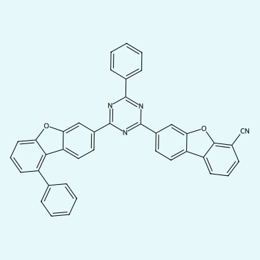 N#Cc1cccc2c1oc1cc(-c3nc(-c4ccccc4)nc(-c4ccc5c(c4)oc4cccc(-c6ccccc6)c45)n3)ccc12